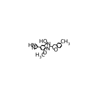 COc1cc(-c2cn[nH]c2)cc2c(O)nc(C3COc4ccc(C)cc4C3)nc12